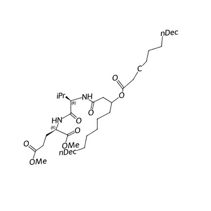 CCCCCCCCCCCCCCCC(=O)OC(CCCCCCCCCCCCCCC)CC(=O)N[C@@H](C(=O)N[C@H](CCC(=O)OC)C(=O)OC)C(C)C